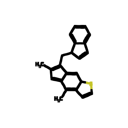 CC1=C(CC2C=Cc3ccccc32)C2=CC3SC=CC3=C(C)C2=C1